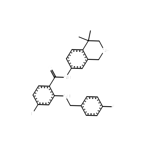 CC1(C)CNCc2cc(NC(=O)c3ccc(F)cc3NCc3ccc(F)cc3)ccc21